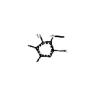 CNc1c(N)cc(C)c(C)c1N